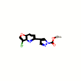 CC(C)(C)OC(=O)n1cc(-c2ccc3occ(Br)c3n2)cn1